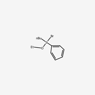 CCCC[Si](Br)(OCC)c1ccccc1